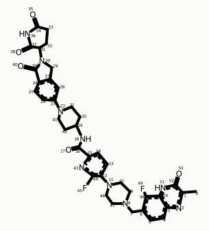 Cc1nc2ccc(CN3CCN(c4ccc(C(=O)NC5CCN(c6ccc7c(c6)CN(C6CCC(=O)NC6=O)C7=O)CC5)nc4F)CC3)c(F)c2[nH]c1=O